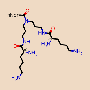 CCCCCCCCCC(=O)N(CCCNC(=O)[C@@H](N)CCCCN)CCCNC(=O)[C@@H](N)CCCCN